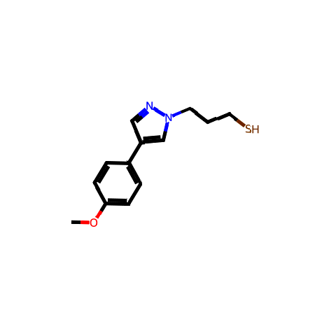 COc1ccc(-c2cnn(CCCS)c2)cc1